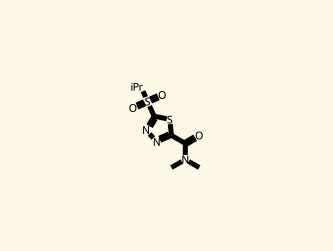 CC(C)S(=O)(=O)c1nnc(C(=O)N(C)C)s1